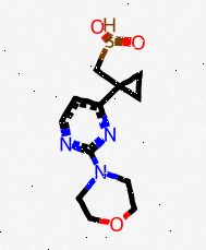 O=[SH](=O)CC1(c2ccnc(N3CCOCC3)n2)CC1